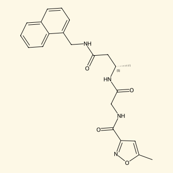 Cc1cc(C(=O)NCC(=O)N[C@@H](C)CC(=O)NCc2cccc3ccccc23)no1